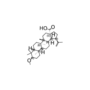 C=C(C)[C@@H]1CC[C@]2(C(=O)O)CC[C@]3(C)[C@H](CC[C@@H]4[C@@]5(C)CC[C@@H](OC)C(C)(C)[C@@H]5CC[C@]43C)[C@@H]12